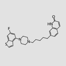 O=c1ccc2ccc(CCCCCN3CCN(c4cc(F)cc5sccc45)CC3)cc2[nH]1